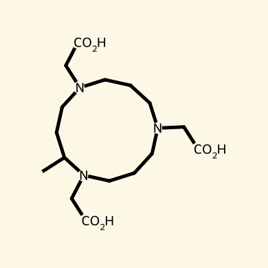 CC1CCN(CC(=O)O)CCCN(CC(=O)O)CCCN1CC(=O)O